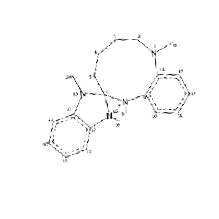 CN1CCCCC2(N(C)c3ccccc31)N(C)c1ccccc1N2C